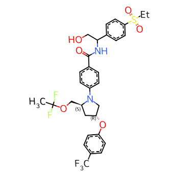 CCS(=O)(=O)c1ccc(C(CO)NC(=O)c2ccc(N3C[C@H](Oc4ccc(C(F)(F)F)cc4)C[C@H]3COC(C)(F)F)cc2)cc1